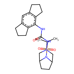 CC(C)N1CC2CCC(C1)N2S(=O)(=O)NC(=O)Nc1c2c(cc3c1CCC3)CCC2